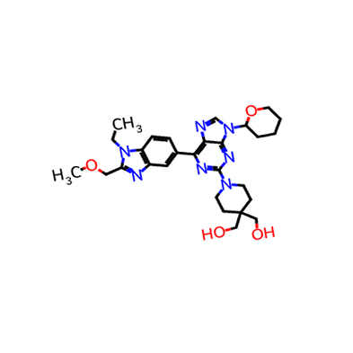 CCn1c(COC)nc2cc(-c3nc(N4CCC(CO)(CO)CC4)nc4c3ncn4C3CCCCO3)ccc21